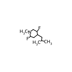 CC(C)CC1CC(F)N(C)CC1F